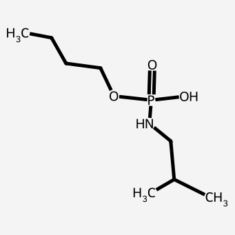 CCCCOP(=O)(O)NCC(C)C